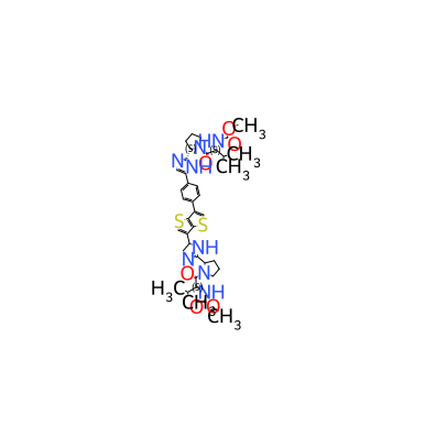 COC(=O)N[C@H](C(=O)N1CCCC1C1=NCC(c2csc3c(-c4ccc(-c5cnc([C@@H]6CCCN6C(=O)[C@@H](NC(=O)OC)C(C)C)[nH]5)cc4)csc23)N1)C(C)C